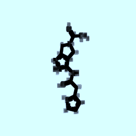 CC(=O)N1Cc2n[nH]c(NC(=O)Cc3cccs3)c2C1